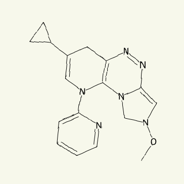 CON1C=C2N=NC3=C(N2C1)N(c1ccccn1)C=C(C1CC1)C3